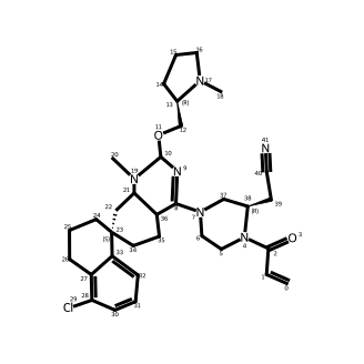 C=CC(=O)N1CCN(C2=NC(OC[C@H]3CCCN3C)N(C)C3C[C@]4(CCCc5c(Cl)cccc54)CCC23)C[C@H]1CC#N